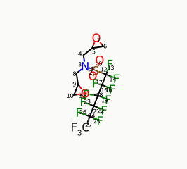 O=S(=O)(N(CC1CO1)CC1CO1)C(F)(F)C(F)(F)C(F)(F)C(F)(F)C(F)(F)C(F)(F)F